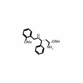 COc1ccccc1CN[C@H](C[C@@H](N)OC)c1ccccc1